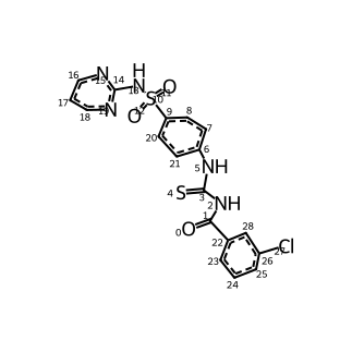 O=C(NC(=S)Nc1ccc(S(=O)(=O)Nc2ncccn2)cc1)c1cccc(Cl)c1